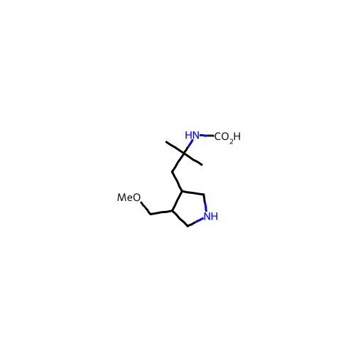 COCC1CNCC1CC(C)(C)NC(=O)O